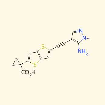 Cn1ncc(C#Cc2cc3sc(C4(C(=O)O)CC4)cc3s2)c1N